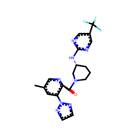 Cc1cnc(C(=O)N2CCC[C@@H](Nc3ncc(C(F)(F)F)cn3)C2)c(-n2nccn2)c1